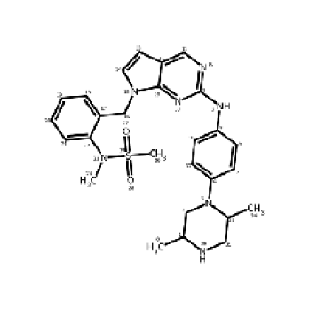 CC1CN(c2ccc(Nc3ncc4ccn(Cc5ccccc5N(C)S(C)(=O)=O)c4n3)cc2)C(C)CN1